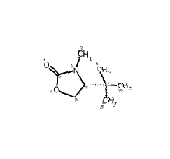 CN1C(=O)OC[C@H]1C(C)(C)C